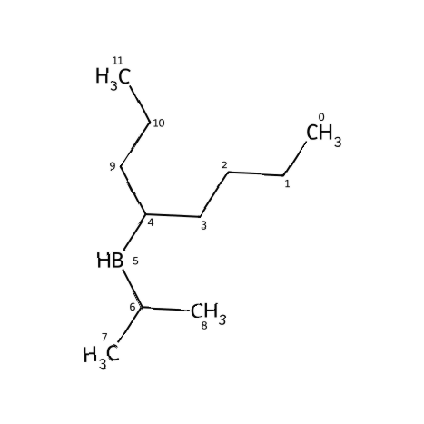 CCCCC(BC(C)C)CCC